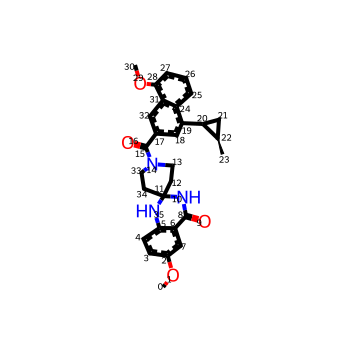 COc1ccc2c(c1)C(=O)NC1(CCN(C(=O)c3cc(C4C[C@H]4C)c4cccc(OC)c4c3)CC1)N2